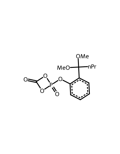 CCCC(OC)(OC)c1ccccc1OP1(=O)OC(=O)O1